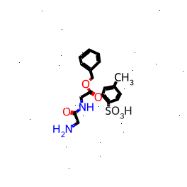 Cc1ccc(S(=O)(=O)O)cc1.NCC(=O)NCC(=O)OCc1ccccc1